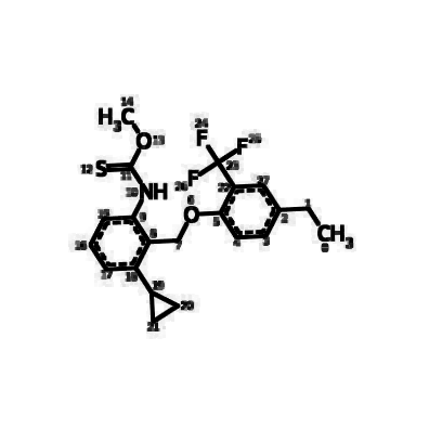 CCc1ccc(OCc2c(NC(=S)OC)cccc2C2CC2)c(C(F)(F)F)c1